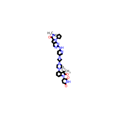 CN(C)C(=O)c1cc2cnc(Nc3ccc(N4CC(N5CCN(c6cccc7c6C(C)(C)C(=O)N7[C@@H]6CCC(=O)NC6=O)CC5)C4)cn3)nc2n1C1CCCC1